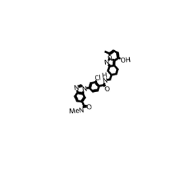 CNC(=O)c1ccc2ncn(-c3ccc(C(=O)NCC4CCc5c(nn6c(C)ccc(O)c56)C4)c(Cl)c3)c2c1